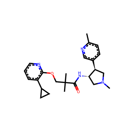 Cc1ccc([C@H]2CN(C)C[C@@H]2NC(=O)C(C)(C)COc2ncccc2C2CC2)cn1